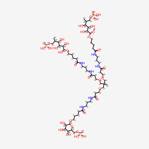 COC(OCCCCC(=O)NCCCNC(=O)CCOCC(C)(COCCC(=O)NCCCNC(=O)CCCCOC(O)C(O)C(O)C(O)C(C)COP(=O)(O)O)COCCC(=O)NCCCNC(=O)CCCCOC1OC(COP(=O)(O)O)C(O)C(O)C1O)C(O)C(O)C(O)C(C)COP(=O)(O)O